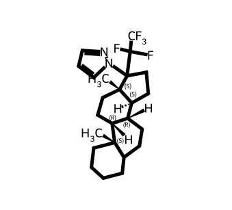 C[C@]12CCCCC1CC[C@@H]1[C@H]2CC[C@@]2(C)[C@H]1CCC2(n1cccn1)C(F)(F)C(F)(F)F